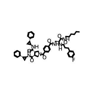 CCCCCCNC(=O)[C@H](CNC(=O)c1ccc(C(=O)N2C[C@@H](C(=O)N[C@H]3C[C@@H]3c3ccccc3)[C@H](C(=O)N[C@H]3C[C@@H]3c3ccccc3)C2)cc1)NC(=O)CCc1ccc(F)cc1